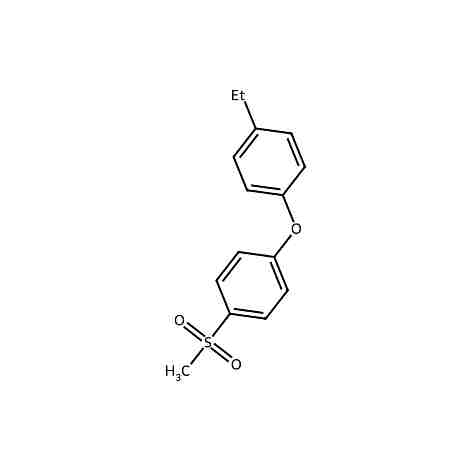 CCc1ccc(Oc2ccc(S(C)(=O)=O)cc2)cc1